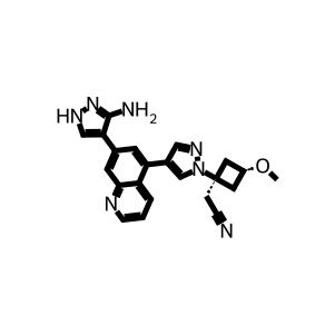 CO[C@H]1C[C@](CC#N)(n2cc(-c3cc(-c4c[nH]nc4N)cc4ncccc34)cn2)C1